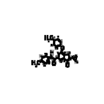 Cc1ccc(Oc2cc(C(=O)Nc3ccc(C)cn3)cc3c2CN(C2CC2)C3=O)cc1